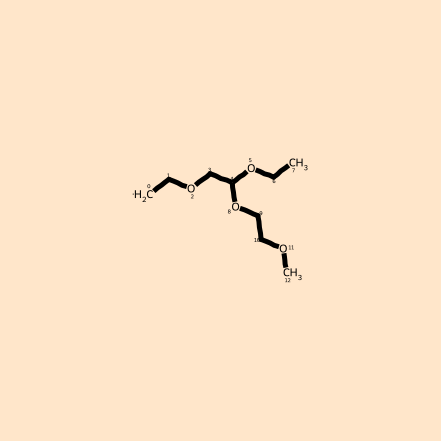 [CH2]COCC(OCC)OCCOC